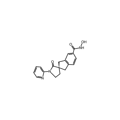 O=C(NO)c1ccc2c(c1)C[C@]1(CCN(c3ccccn3)C1=O)C2